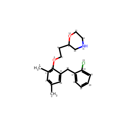 Cc1cc(C)c(OCCC2CNCCO2)c(Cc2ccccc2Cl)c1